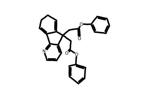 O=C(CC1(CC(=O)Oc2ccccc2)C2=CCCC=C2c2ncccc21)Oc1ccccc1